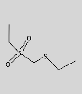 CCSCS(=O)(=O)CC